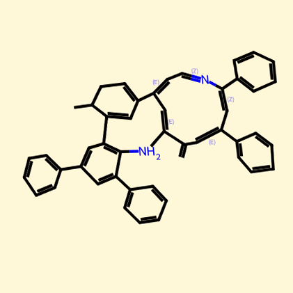 C=C1\C=C(c2ccccc2)/C=C(c2ccccc2)\N=C/C=C(C2=CCC(C)C(c3cc(-c4ccccc4)cc(-c4ccccc4)c3N)=C2)\C=C\1C